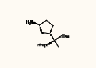 CCCCCCC[C@](C)(CCCCCC)C1CC[C@H](N)C1